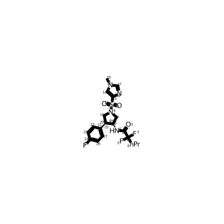 CCCC(F)(F)C(=O)N[C@H]1CN(S(=O)(=O)c2cn(C)cn2)C[C@@H]1c1ccc(F)cc1